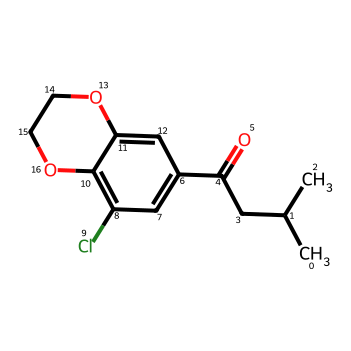 CC(C)CC(=O)c1cc(Cl)c2c(c1)OCCO2